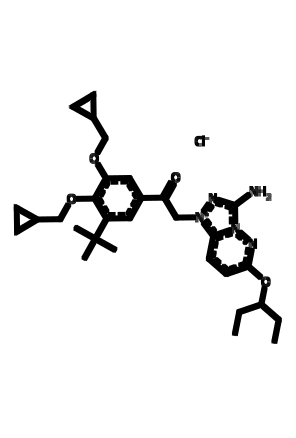 CCC(CC)Oc1ccc2n(n1)c(N)n[n+]2CC(=O)c1cc(OCC2CC2)c(OCC2CC2)c(C(C)(C)C)c1.[Cl-]